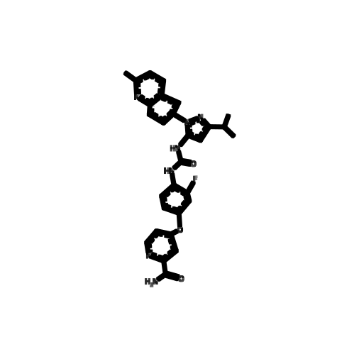 Cc1ccc2cc(-n3nc(C(C)C)cc3NC(=O)Nc3ccc(Oc4ccnc(C(N)=O)c4)cc3F)ccc2n1